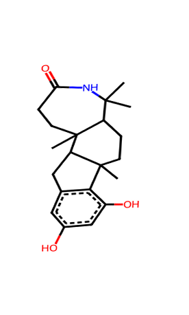 CC1(C)NC(=O)CCC2(C)C1CCC1(C)c3c(O)cc(O)cc3CC12